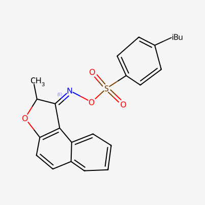 CCC(C)c1ccc(S(=O)(=O)O/N=C2\c3c(ccc4ccccc34)OC2C)cc1